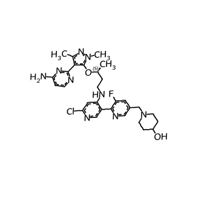 Cc1nn(C)c(O[C@@H](C)CCNc2cc(Cl)ncc2-c2ncc(CN3CCC(O)CC3)cc2F)c1-c1nccc(N)n1